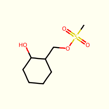 CS(=O)(=O)OCC1CCCCC1O